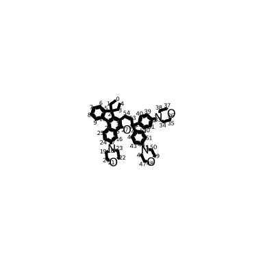 CCC1(CC)c2ccccc2-c2c1c1c(c3cc(N4CCOCC4)ccc23)OC(c2ccc(N3CCOCC3)cc2)(c2ccc(N3CCOCC3)cc2)C=C1